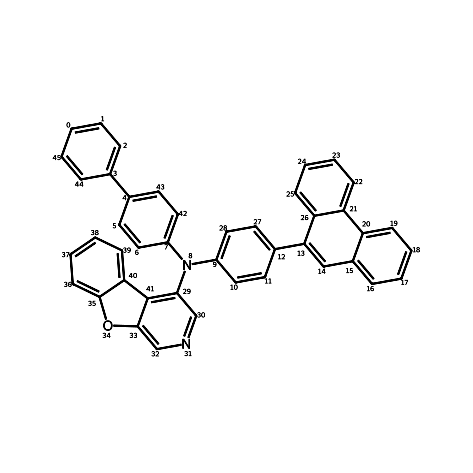 c1ccc(-c2ccc(N(c3ccc(-c4cc5ccccc5c5ccccc45)cc3)c3cncc4oc5ccccc5c34)cc2)cc1